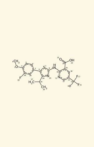 COc1ccc(-c2sc(Nc3ncc(C(F)(F)F)cc3C(=O)O)nc2C(C)C)cc1F